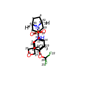 CC1(CNC2C[C@H]3CC[C@@H](C2)N3S(=O)(=O)c2ccc(OC(F)F)cc2)COC1